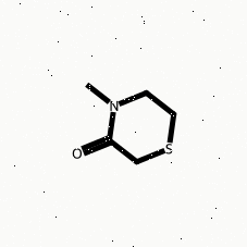 CN1CCSCC1=O